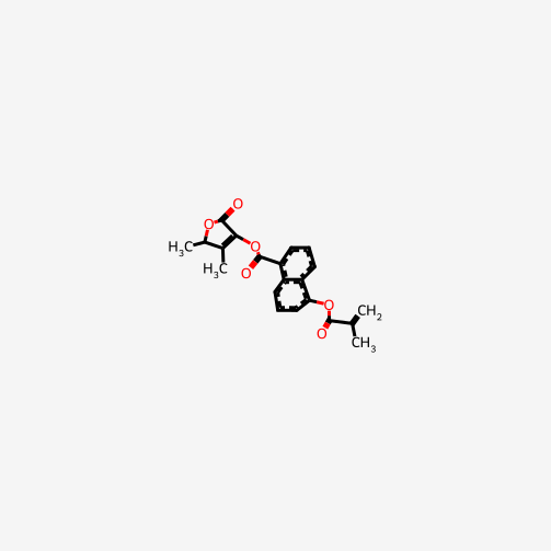 C=C(C)C(=O)Oc1cccc2c(C(=O)OC3=C(C)C(C)OC3=O)cccc12